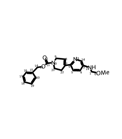 COCNc1ccc(C2=CCN(C(=O)OCc3ccccc3)CC2)nc1